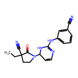 CCC1(C#N)CCN(C2C=CN=C(Nc3cccc(C#N)c3)N2)C1=O